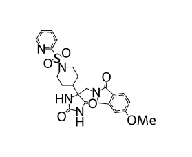 COc1ccc2c(c1)CN(CC1(C3CCN(S(=O)(=O)c4ccccn4)CC3)NC(=O)NC1=O)C2=O